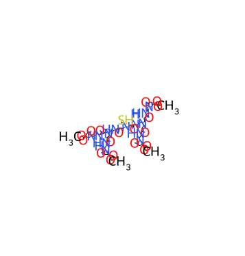 COC(=O)C1CC(=O)N(CCNC(=O)CCN(CCNC(=O)CCN(CCS)CCC(=O)NCCN(CCC(=O)NCCN2CC(C(=O)OC)CC2=O)CCC(=O)NCCN2CC(C(=O)OC)CC2=O)CCC(=O)NCCN2CC(C(=O)OC)CC2=O)C1